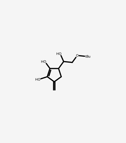 C=C1CC(C(O)COC(C)(C)C)C(O)=C1O